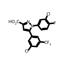 O=C(O)c1cc(-c2cc(Cl)cc(C(F)(F)F)c2)n(-c2ccc(F)c(Cl)c2)n1